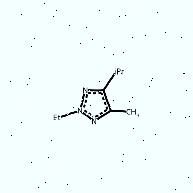 CCn1nc(C)c(C(C)C)n1